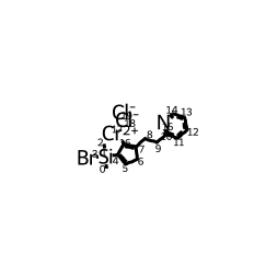 C[Si](C)(Br)C1=CCC(CCc2ccccn2)=[C]1[Cr+2].[Cl-].[Cl-]